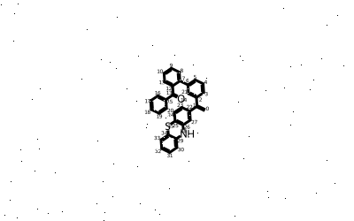 C=C(c1cccc(-c2ccccc2C(=O)c2ccccc2)c1)c1ccc2c(c1)Nc1ccccc1S2